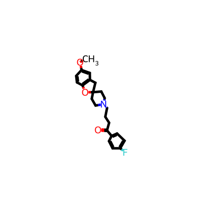 COc1ccc2c(c1)CC1(CCN(CCCC(=O)c3ccc(F)cc3)CC1)O2